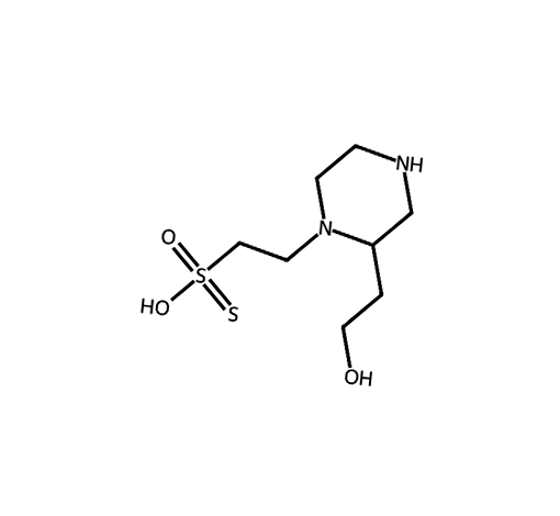 O=S(O)(=S)CCN1CCNCC1CCO